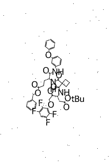 CC(C)(C)OC(=O)CC(NC(=O)C1(C(=O)NC(CCC(=O)OCc2ccccc2)C(=O)Nc2cccc(Oc3ccccc3)c2)CCC1)C(=O)COc1c(F)c(F)cc(F)c1F